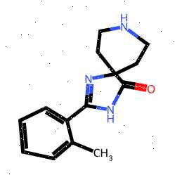 Cc1ccccc1C1=NC2(CCNCC2)C(=O)N1